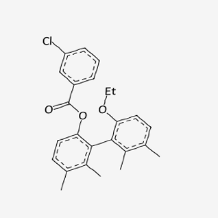 CCOc1ccc(C)c(C)c1-c1c(OC(=O)c2cccc(Cl)c2)ccc(C)c1C